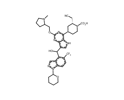 CN1CCCC1COc1nc(N2CCN(C(=O)O)[C@@H](CC#N)C2)c2[nH]cc(C(O)c3c(C(F)(F)F)ccc4c3cnn4C3CCCCO3)c2n1